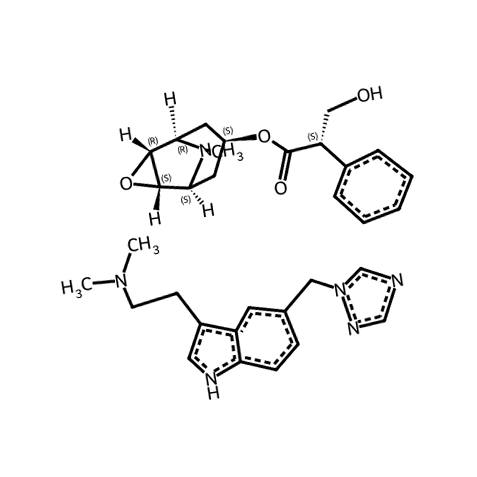 CN(C)CCc1c[nH]c2ccc(Cn3cncn3)cc12.CN1[C@@H]2C[C@@H](OC(=O)[C@H](CO)c3ccccc3)C[C@H]1[C@@H]1O[C@@H]12